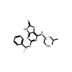 CC(C)C[C@H](CO)Nc1nc(S[C@H](C)c2ccccc2)nc2[nH]c(=O)sc12